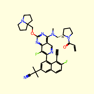 C#Cc1c(F)ccc2cc(C(C)(C)C#N)cc(-c3ncc4c(N(C)C[C@@H]5CCCN5C(=O)C=C)nc(OCC56CCCN5CCC6)nc4c3F)c12